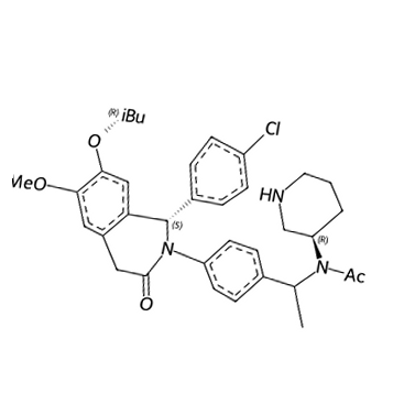 CC[C@@H](C)Oc1cc2c(cc1OC)CC(=O)N(c1ccc(C(C)N(C(C)=O)[C@@H]3CCCNC3)cc1)[C@H]2c1ccc(Cl)cc1